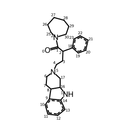 O=C(C(CCN1CCC2c3ccccc3NC2C1)c1ccccc1)N1CCCCCC1